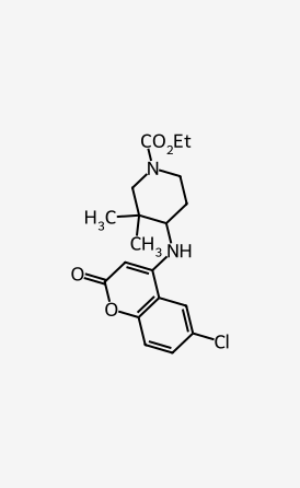 CCOC(=O)N1CCC(Nc2cc(=O)oc3ccc(Cl)cc23)C(C)(C)C1